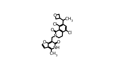 Cc1[nH]c(=O)c(CN2CCc3c(Cl)cc(C(C)C4COC4)c(Cl)c3C2=O)c2occc12